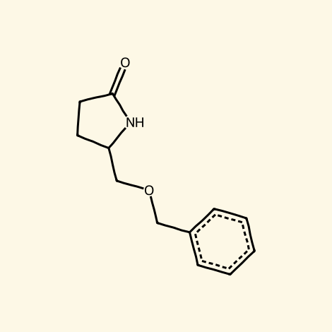 O=C1CCC(COCc2ccccc2)N1